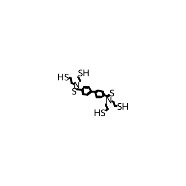 S=C(c1ccc(-c2ccc(C(=S)N(CCS)CCS)cc2)cc1)N(CCS)CCS